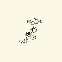 O=C(NCC(F)(F)F)C1(Nc2ccnc(-c3c[nH]c4ncc(Cl)cc34)n2)CCOC1